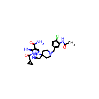 CC(=O)Nc1cc(CN2CCC(CC#N)(N/C=C(\C(=N)NC(=O)C3CC3)C(N)=O)CC2)ccc1Cl